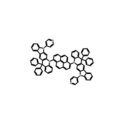 c1ccc(C2(c3ccccc3)c3ccccc3N(c3ccc4ccc5c(N6c7ccccc7C(c7ccccc7)(c7ccccc7)c7cc8c9ccccc9n(-c9ccncc9)c8cc76)ccc6ccc3c4c65)c3cc4c(cc32)c2ccccc2n4-c2ccncc2)cc1